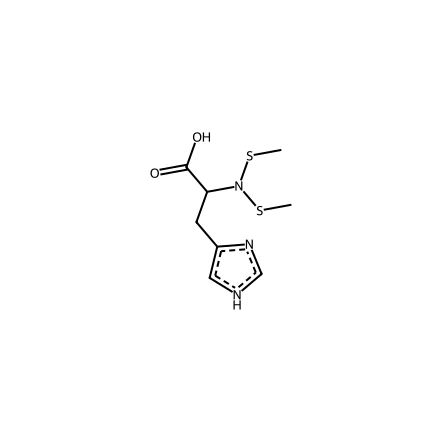 CSN(SC)C(Cc1c[nH]cn1)C(=O)O